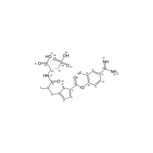 CC(Cc1ccc(C(=O)Oc2ccc(C(=N)N)cc2F)s1)C(=O)N[C@@H](CS(=O)(=O)O)C(=O)O